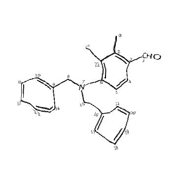 Cc1c(C=O)ccc(N(Cc2ccccc2)Cc2ccccc2)c1C